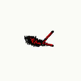 CCCCCCCCCCCCC/C=C/[C@@H](O)[C@H](CO[C@@H]1OC(CO)[C@@H](O[C@@H]2OC(CO)[C@H](O)[C@H](O[C@]3(C(=O)O)CC(O)[C@@H](NC(C)=O)C([C@H](O)[C@@H](CO)O[C@]4(C(=O)O)CC(O)[C@@H](NC(C)=O)C([C@H](O)[C@H](O)CO)O4)O3)C2O)[C@H](O)C1O)NC(=O)CCCCCCCCCCCCCCCCCCCCC